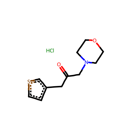 Cl.O=C(Cc1ccsc1)CN1CCOCC1